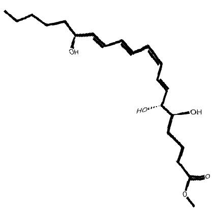 CCCCC[C@H](O)/C=C/C=C/C=C\C=C\[C@@H](O)[C@@H](O)CCCC(=O)OC